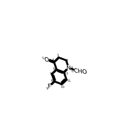 O=CN1CCC(=O)c2cc(F)ccc21